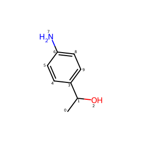 CC(O)c1ccc(N)cc1